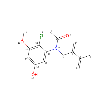 C=C(C)C(=C)CN(C(C)=O)c1cc(O)cc(OC)c1Cl